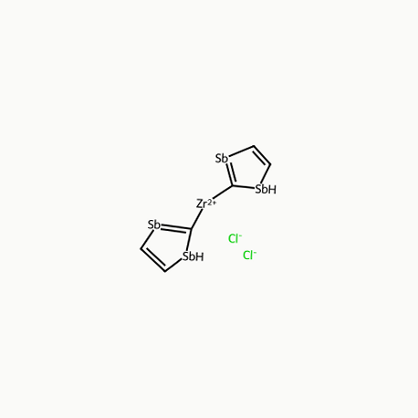 [CH]1=[CH][SbH][C]([Zr+2][C]2=[Sb][CH]=[CH][SbH]2)=[Sb]1.[Cl-].[Cl-]